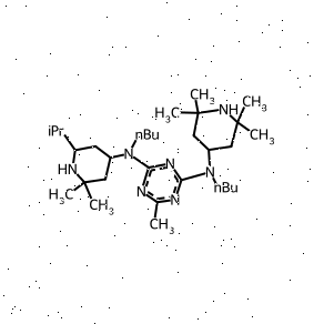 CCCCN(c1nc(C)nc(N(CCCC)C2CC(C)(C)NC(C)(C)C2)n1)C1CC(C(C)C)NC(C)(C)C1